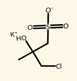 CC(O)(CCl)CS(=O)(=O)[O-].[K+]